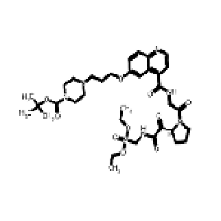 CCOP(=O)(CNC(=O)C(=O)[C@@H]1CCCN1C(=O)CNC(=O)c1ccnc2ccc(OCCCN3CCN(C(=O)OC(C)(C)C)CC3)cc12)OCC